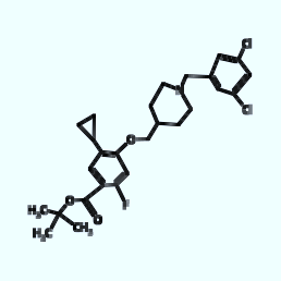 CC(C)(C)OC(=O)c1cc(C2CC2)c(OCC2CCN(Cc3cc(Cl)cc(Cl)c3)CC2)cc1F